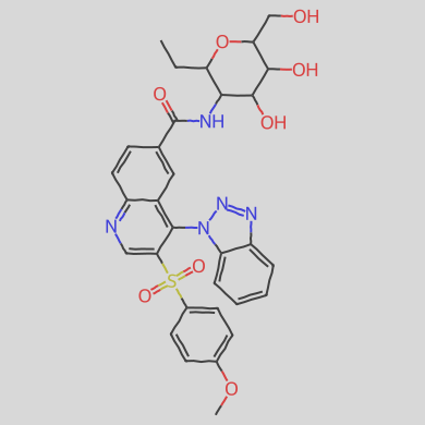 CCC1OC(CO)C(O)C(O)C1NC(=O)c1ccc2ncc(S(=O)(=O)c3ccc(OC)cc3)c(-n3nnc4ccccc43)c2c1